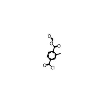 Cc1cc(C(=O)Cl)ccc1C(=O)OC=O